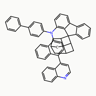 c1ccc(-c2ccc(N(c3cccc4c3C3(c5ccccc5-4)C4CC5CC6CC3C64C5)c3ccc(-c4ccnc5ccccc45)c4ccccc34)cc2)cc1